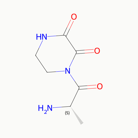 C[C@H](N)C(=O)N1CCNC(=O)C1=O